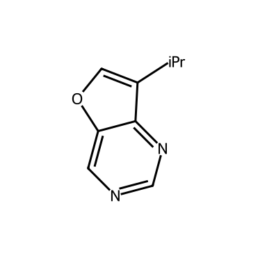 CC(C)c1coc2cncnc12